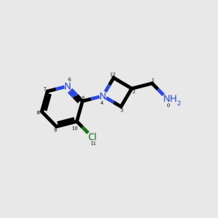 NCC1CN(c2ncccc2Cl)C1